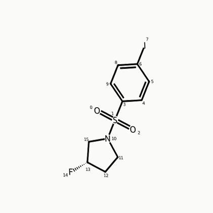 O=S(=O)(c1ccc(I)cc1)N1CC[C@H](F)C1